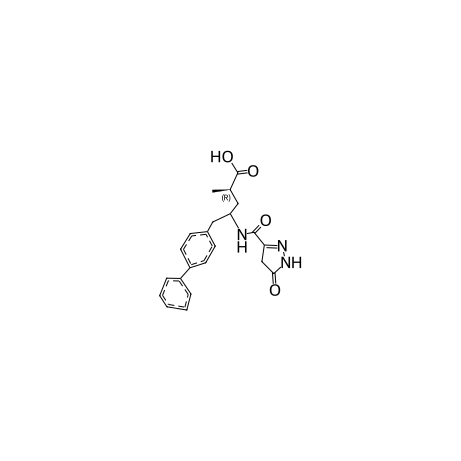 C[C@H](CC(Cc1ccc(-c2ccccc2)cc1)NC(=O)C1=NNC(=O)C1)C(=O)O